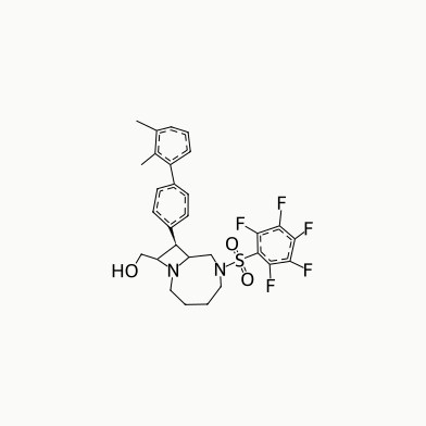 Cc1cccc(-c2ccc([C@@H]3C(CO)N4CCCCN(S(=O)(=O)c5c(F)c(F)c(F)c(F)c5F)CC34)cc2)c1C